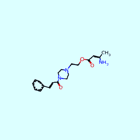 C/C(N)=C/C(=O)OCCN1CCN(C(=O)C=Cc2ccccc2)CC1